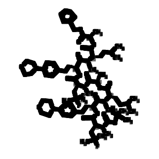 CC(C)CC[C@@H](C(=O)O[C@H](C)C(=O)N(C)[C@@H](CC(C)(C)F)C(=O)O[C@H](CCc1ccc(N2CCOCC2)cc1)C(=O)N(C)[C@@H](CCC(C)C)C(=O)O[C@H](C)C(=O)OCc1ccccc1)N(C)C(=O)[C@@H](CCc1ccc(N2CCOCC2)cc1)OC(=O)[C@H](CC(C)(C)F)N(C)C(=O)OC(C)(C)C